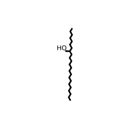 CCCCCCCCCCCCCCCC(CO)CCCCCCC